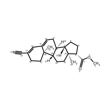 COC(=O)[C@H]1CC[C@H]2[C@@H]3CC=C4C=C(C#N)CC[C@]4(C)[C@H]3CC[C@]12C